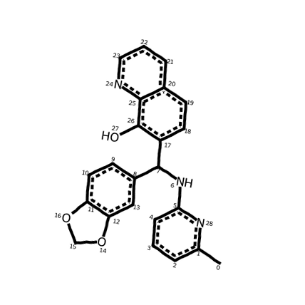 Cc1cccc(NC(c2ccc3c(c2)OCO3)c2ccc3cccnc3c2O)n1